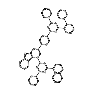 c1ccc(-c2nc(-c3ccc(-c4cc(-c5nc(-c6ccccc6)nc(-c6cccc7ccccc67)n5)c5c(c4)oc4ccccc45)cc3)nc(-c3ccccc3-c3ccccc3)n2)cc1